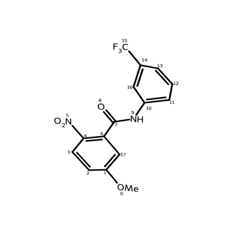 COc1ccc([N+](=O)[O-])c(C(=O)Nc2cccc(C(F)(F)F)c2)c1